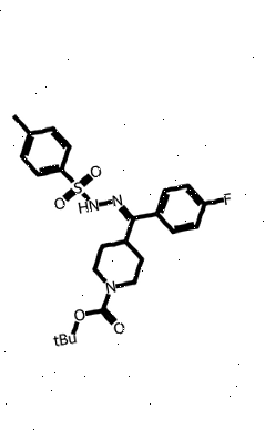 Cc1ccc(S(=O)(=O)N/N=C(/c2ccc(F)cc2)C2CCN(C(=O)OC(C)(C)C)CC2)cc1